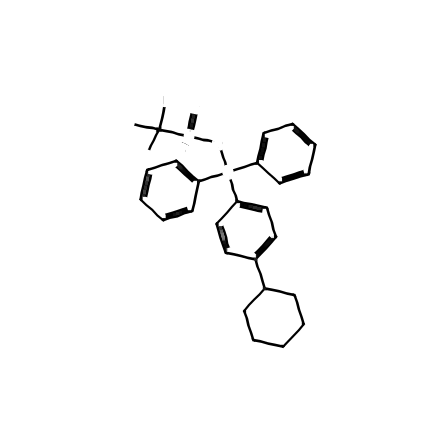 O=S(=O)(OS(c1ccccc1)(c1ccccc1)c1ccc(C2CCCCC2)cc1)C(F)(F)F